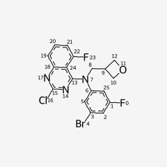 Fc1cc(Br)cc(N(CC2COC2)c2nc(Cl)nc3cccc(F)c23)c1